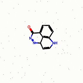 O=C1N=NC2C=CNc3cccc1c32